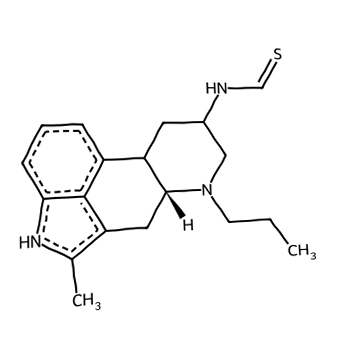 CCCN1CC(NC=S)CC2c3cccc4[nH]c(C)c(c34)C[C@H]21